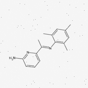 CC(=Nc1c(C)cc(C)cc1C)c1cccc(N)n1